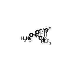 NC(=S)c1cccc(-c2cn(C3CCN(S(=O)(=O)C(F)(F)F)CC3)c3cc(CNCC4C[C@H](F)CN4)ccc23)c1